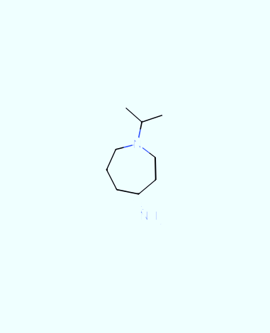 CC(C)N1CCC[C@@H](N)CC1